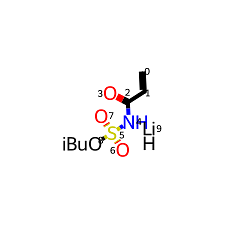 C=CC(=O)NS(=O)(=O)OCC(C)C.[LiH]